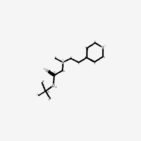 CN(CCC1CCOCC1)CC(=O)OC(C)(C)C